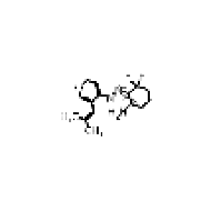 CC(C)=CC1=COCC=C1N=[N+][C@@H]1[C@H](N)CCCC1(F)F